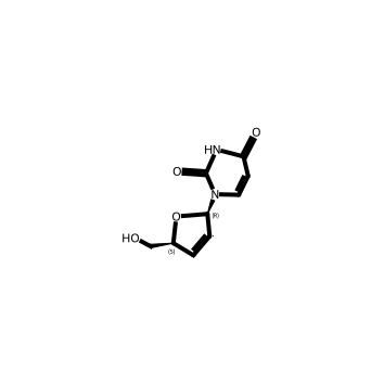 O=c1ccn([C@H]2[C]=C[C@@H](CO)O2)c(=O)[nH]1